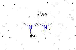 CCC(C)/[N+](C)=C(/SC)N(C)C